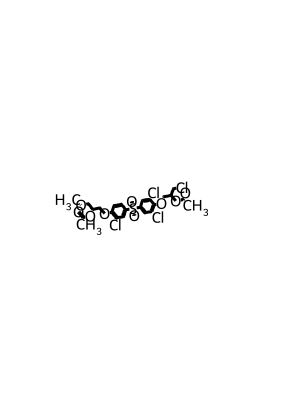 COCC(COc1ccc(S(=O)(=O)c2cc(Cl)c(OCC(CCl)OC(C)=O)c(Cl)c2)cc1Cl)OC(C)=O